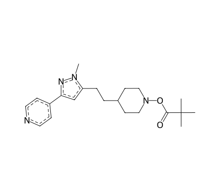 Cn1nc(-c2ccncc2)cc1CCC1CCN(OC(=O)C(C)(C)C)CC1